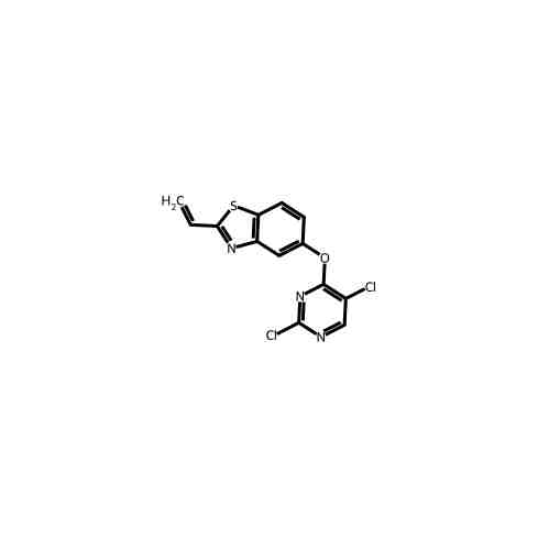 C=Cc1nc2cc(Oc3nc(Cl)ncc3Cl)ccc2s1